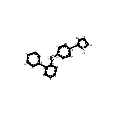 c1ccc(-c2ccccc2Nc2ccc(-c3cccs3)cc2)cc1